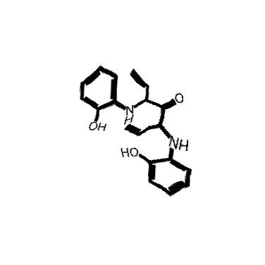 C=CC(Nc1ccccc1O)C(=O)C(C=C)Nc1ccccc1O